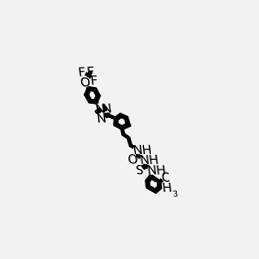 Cc1ccccc1NC(=S)NC(=O)NCCCc1cccc(-c2ncn(-c3ccc(OC(F)(F)F)cc3)n2)c1